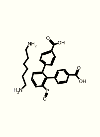 NCCCCCCN.O=Pc1cccc(-c2ccc(C(=O)O)cc2)c1-c1ccc(C(=O)O)cc1